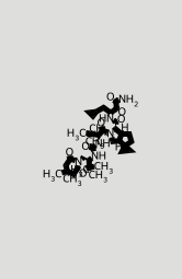 CC1(C)CC(=O)N(C[C@@H](NC(=O)N[C@H](C(=O)N2C[C@H]3[C@H](CCC34CC4)[C@H]2C(=O)NC(CC2CC2)C(=O)C(N)=O)C(C)(C)C)C(C)(C)C)C(=O)C1